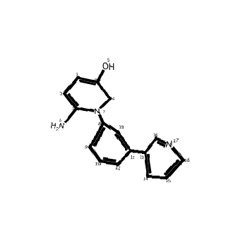 NC1=CC=C(O)CN1c1cccc(-c2cccnc2)c1